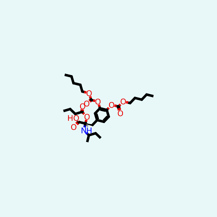 CCCCCOC(=O)Oc1ccc(C[C@](NC(C)CC)(OC(=O)CCC)C(=O)O)cc1OC(=O)OCCCCC